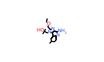 CCOCc1nc2c(N)nc3c(c2n1CC(C)(C)O)=CC(C)CC=3